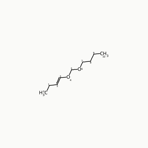 CCC=COCOCCCC